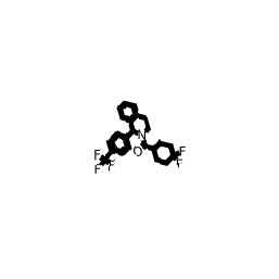 O=C(C1CCC(F)(F)CC1)N1CCc2ccccc2C1c1ccc(C(F)(F)F)cc1